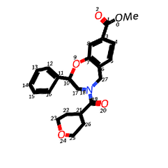 COC(=O)c1ccc2c(c1)OC(c1ccccc1)CN(C(=O)C1CCOCC1)C2